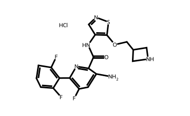 Cl.Nc1cc(F)c(-c2c(F)cccc2F)nc1C(=O)Nc1cnsc1OCC1CNC1